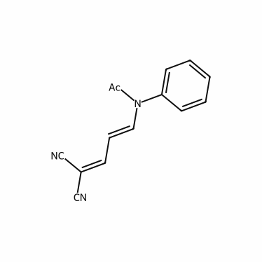 CC(=O)N(C=CC=C(C#N)C#N)c1ccccc1